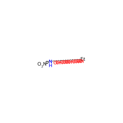 CCC(=O)CC(O)CC(O)CC(O)/C=C/CC(O)CC(O)CC(O)CC(O)/C=C/CC(O)CC(O)CCCNCc1ccc([N+](=O)[O-])cc1